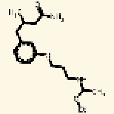 CCOC(C)NCCCOc1cccc(CC(C)CC(N)=O)c1